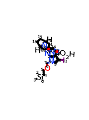 C[Si](C)(C)CCOCn1cc(I)c2ncc(N3[C@@H]4CC[C@H]3C[C@@H](NC(=O)O)C4)nc21